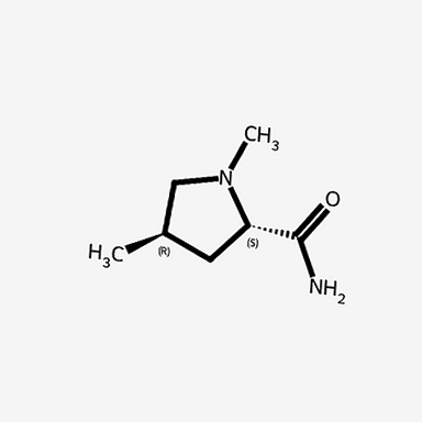 C[C@@H]1C[C@@H](C(N)=O)N(C)C1